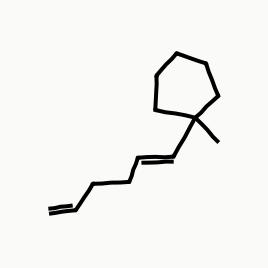 C=CCCC=CC1(C)CCCCC1